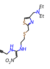 C#CCNC(=C[N+](=O)[O-])NCCSCc1nc(CN(CC)CC)cs1